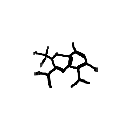 Cc1cc(Cl)c(C(C)C)c2c1OC(C(F)(F)F)C(C(=O)O)=C2